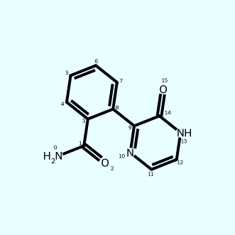 NC(=O)c1ccccc1-c1ncc[nH]c1=O